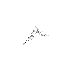 CO.[CH2].[CH2].[CH2].[CH2].[CH2].[CH2].[CH2].[CH2].[CH2]